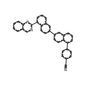 N#Cc1ccc(-c2cccc3cc(-c4ccc5c(-c6ncc7ccccc7n6)cccc5c4)ccc23)cc1